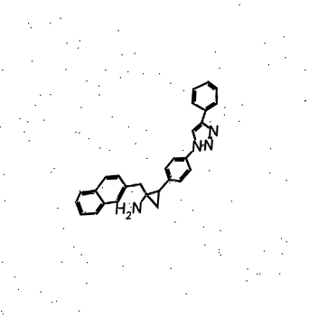 NC1(Cc2ccc3ccccc3c2)CC1c1ccc(-n2cc(-c3ccccc3)nn2)cc1